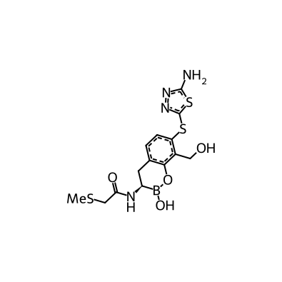 CSCC(=O)N[C@H]1Cc2ccc(Sc3nnc(N)s3)c(CO)c2OB1O